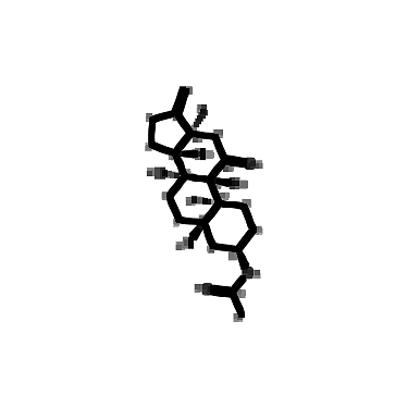 C=C1CC[C@H]2[C@@H]3CC[C@H]4C[C@H](OC(C)=O)CC[C@]4(C)[C@H]3C(=O)C[C@]12C